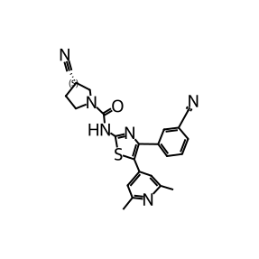 Cc1cc(-c2sc(NC(=O)N3CC[C@H](C#N)C3)nc2-c2cccc(C#N)c2)cc(C)n1